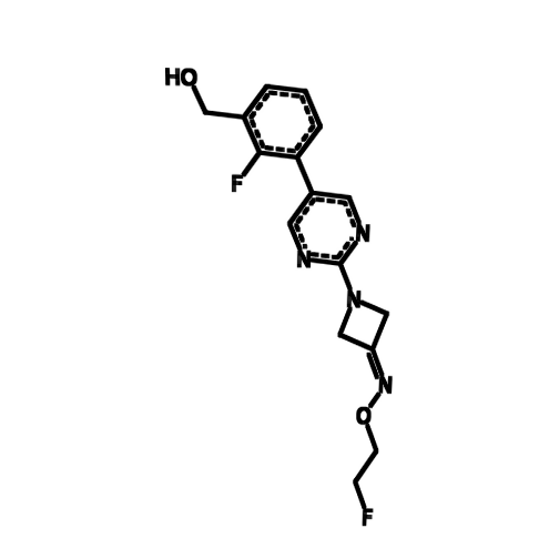 OCc1cccc(-c2cnc(N3CC(=NOCCF)C3)nc2)c1F